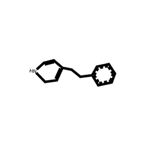 C1=CC(CCc2ccccc2)=CCN1